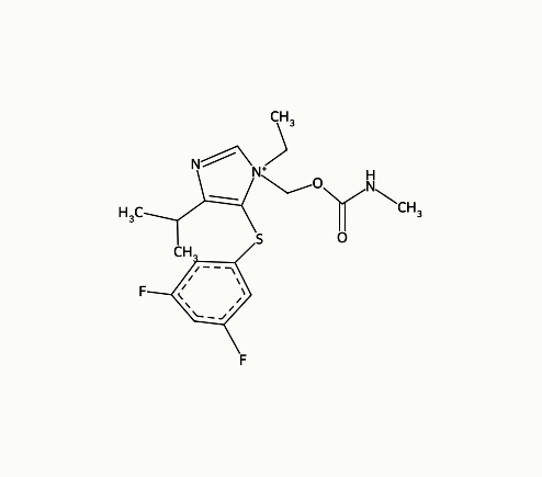 CC[N+]1(COC(=O)NC)C=NC(C(C)C)=C1Sc1cc(F)cc(F)c1